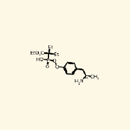 CCOC(=O)C(CC)(CC)P(=O)(O)OOc1ccc(C[C@@H](C)N)cc1